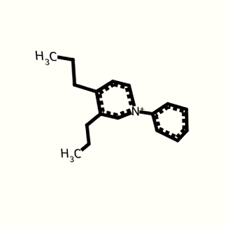 CCCc1cc[n+](-c2ccccc2)cc1CCC